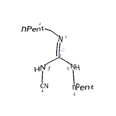 CCCCC/N=C(\NC#N)NCCCCC